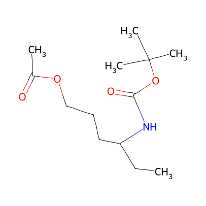 CCC(CCCOC(C)=O)NC(=O)OC(C)(C)C